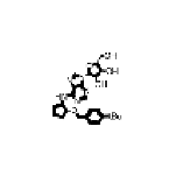 CC(C)(C)c1ccc(CO[C@@H]2CCCC2Nc2ncnc3c2ncn3[C@@H]2O[C@H](CO)[C@@H](O)[C@H]2O)cc1